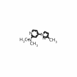 Cc1ccn(-c2ccnc(N(C)C)c2)n1